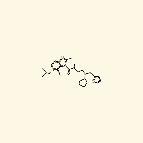 Cc1oc2ncn(CC(C)C)c(=O)c2c1C(=O)NCCN(Cc1ccco1)C1CCCC1